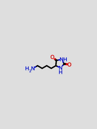 NCCCCC1NC(=O)NC1=O